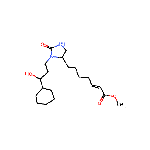 COC(=O)C=CCCCCC1CNC(=O)N1CCC(O)C1CCCCC1